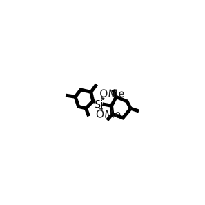 CO[Si](OC)(C1C(C)CC(C)CC1C)C1C(C)CC(C)CC1C